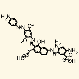 COc1cc(N=Nc2c(SOOO)cc3ccc(N=Nc4cc(S(=O)(=O)O)c(N)cc4N)cc3c2O)c(OC)cc1N=Nc1ccc(N)cc1